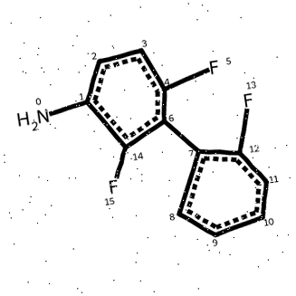 Nc1ccc(F)c(-c2ccccc2F)c1F